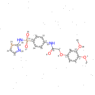 COc1ccc(OCC(=O)Nc2ccc(S(=O)(=O)Nc3nccs3)cc2)cc1OC